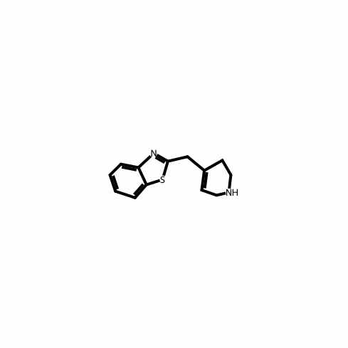 C1=C(Cc2nc3ccccc3s2)CCNC1